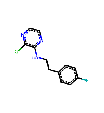 Fc1ccc(CCNc2nccnc2Cl)cc1